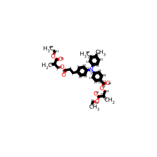 C=C(COC(=O)CCc1ccc(N(c2ccc(C(=O)OCC(=C)C(=O)OCC)cc2)c2ccc(C)c(C)c2)cc1)C(=O)OCC